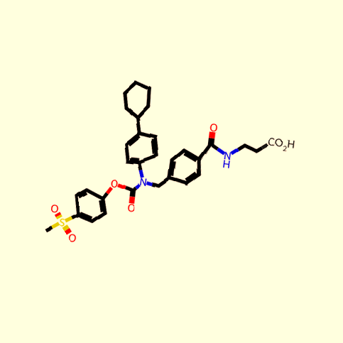 CS(=O)(=O)c1ccc(OC(=O)N(Cc2ccc(C(=O)NCCC(=O)O)cc2)c2ccc(C3CCCCC3)cc2)cc1